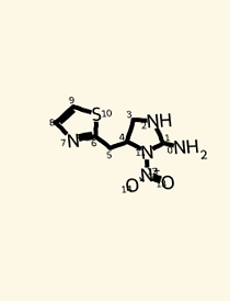 NC1NCC(Cc2nccs2)N1[N+](=O)[O-]